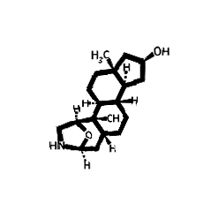 C[C@]12CC[C@H]3[C@@H](CC[C@@H]4C[C@H]5NC[C@H](O5)[C@@]43C)[C@@H]1C[C@H](O)C2